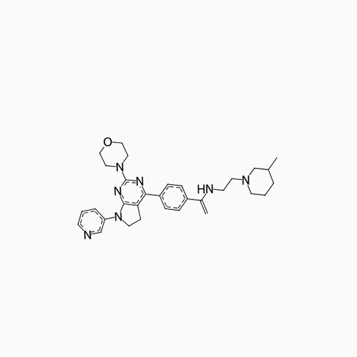 C=C(NCCN1CCCC(C)C1)c1ccc(-c2nc(N3CCOCC3)nc3c2CCN3c2cccnc2)cc1